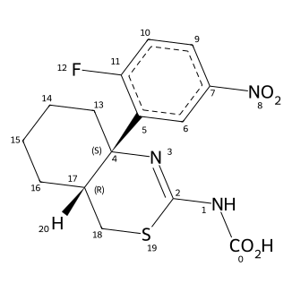 O=C(O)NC1=N[C@@]2(c3cc([N+](=O)[O-])ccc3F)CCCC[C@H]2CS1